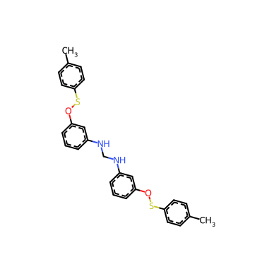 Cc1ccc(SOc2cccc(NCNc3cccc(OSc4ccc(C)cc4)c3)c2)cc1